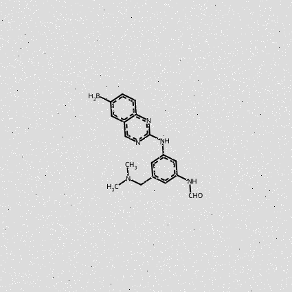 Bc1ccc2nc(Nc3cc(CN(C)C)cc(NC=O)c3)ncc2c1